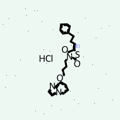 Cl.O=C1S/C(=C/CCc2ccccc2)C(=O)N1CCCCOc1cccn2ccnc12